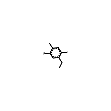 CCc1cc(F)c(C)cc1I